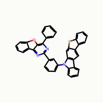 c1ccc(-c2nc(-c3cccc(-n4c5ccccc5c5cc6c(cc54)sc4ccccc46)c3)nc3c2oc2ccccc23)cc1